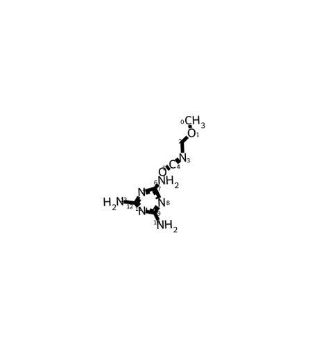 COCN=C=O.Nc1nc(N)nc(N)n1